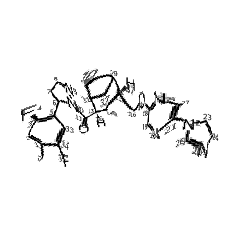 Cc1cc(F)c(C2CC=NN2C(=O)[C@H]2C[C@@H](COc3cnc(-n4ccnc4)cn3)C3CC2C3)cc1F